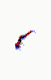 COC(=O)C(CCC(=O)NCCOCCOCCN)NC(=O)c1ccc(N(Cc2cnc3nc(N)[nH]c(=O)c3n2)C(=O)C(F)(F)F)cc1